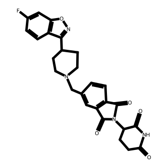 O=C1CCC(N2C(=O)c3ccc(CN4CCC(c5noc6cc(F)ccc56)CC4)cc3C2=O)C(=O)N1